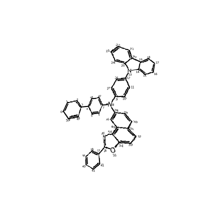 c1ccc(-c2ccc(N(c3ccc(-n4c5ccccc5c5ccccc54)cc3)c3ccc4ccc5oc(-c6ccccc6)nc5c4c3)cc2)cc1